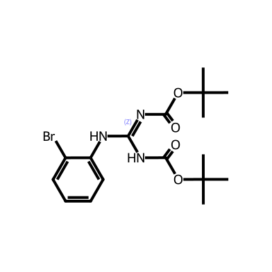 CC(C)(C)OC(=O)/N=C(\NC(=O)OC(C)(C)C)Nc1ccccc1Br